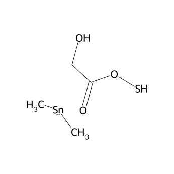 O=C(CO)OS.[CH3][Sn][CH3]